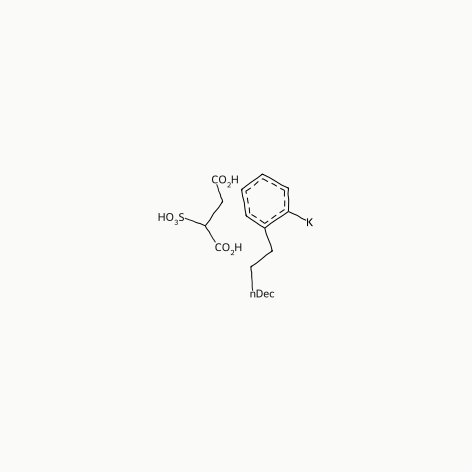 CCCCCCCCCCCCc1cccc[c]1[K].O=C(O)CC(C(=O)O)S(=O)(=O)O